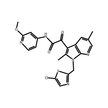 COc1cc(NC(=O)C(=O)c2c(C)n(Cc3ncc(Cl)s3)c3ncc(C)cc23)ccn1